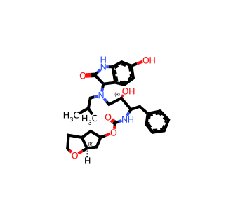 CC(C)CN(C[C@@H](O)C(Cc1ccccc1)NC(=O)OC1CC2CCO[C@@H]2C1)C1C(=O)Nc2cc(O)ccc21